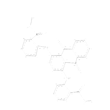 COC(=O)c1ccccc1Nc1ccc(Nc2ccccc2C(=O)OC)c2c1C(=O)c1ccccc1C2=O